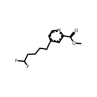 COC(=O)c1cc(CCCCC(F)F)ccn1